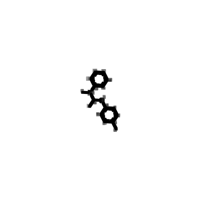 Cc1ccc(OC(C)N(C)c2ccccc2)cc1